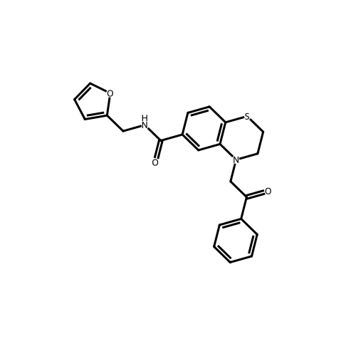 O=C(CN1CCSc2ccc(C(=O)NCc3ccco3)cc21)c1ccccc1